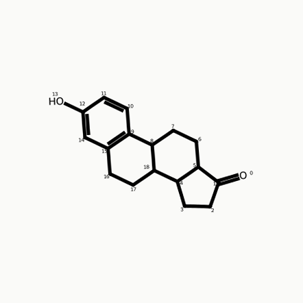 O=C1CCC2C1CCC1c3ccc(O)cc3CCC12